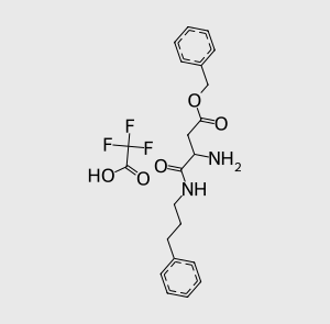 NC(CC(=O)OCc1ccccc1)C(=O)NCCCc1ccccc1.O=C(O)C(F)(F)F